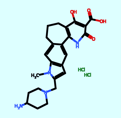 Cl.Cl.Cn1c(CN2CCC(N)CC2)cc2cc3c(cc21)CCCc1c-3[nH]c(=O)c(C(=O)O)c1O